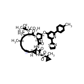 Cc1ccc(-c2cc(O[C@@H]3C[C@H]4C(=O)N[C@]5(C(=O)NS(=O)(=O)C6(C)CC6)C[C@H]5/C=C\CC[C@@H](C)C[C@@H](C)[C@H](N(C(=O)O)C(C)(C)C(F)(F)F)C(=O)N4C3)cc(-c3nccs3)n2)cc1